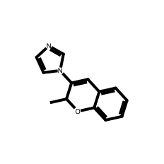 CC1Oc2ccccc2C=C1n1ccnc1